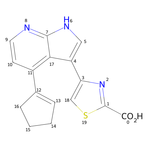 O=C(O)c1nc(-c2c[nH]c3nccc(C4=CCCC4)c23)cs1